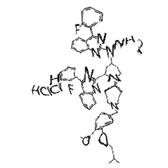 COc1ccc(CN2CCC(N3CCC(N(N)c4nc(-c5ccccc5F)c5ccccc5n4)CC3c3nc(-c4ccccc4F)c4ccccc4n3)CC2)cc1OCC(C)C.Cl.Cl